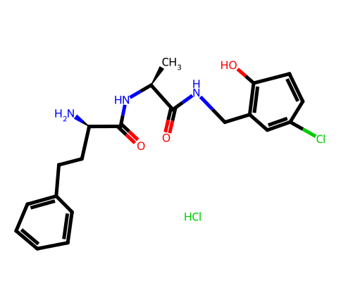 C[C@H](NC(=O)[C@H](N)CCc1ccccc1)C(=O)NCc1cc(Cl)ccc1O.Cl